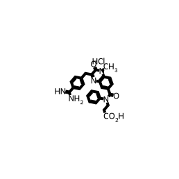 Cl.Cn1c(=O)c(Cc2ccc(C(=N)N)cc2)nc2cc(C(=O)N(CCC(=O)O)c3ccccc3)ccc21